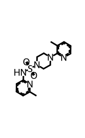 Cc1cccc(NS(=O)(=O)N2CCN(c3ncccc3C)CC2)n1